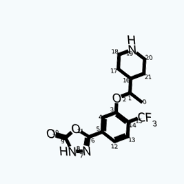 CC(Oc1cc(-c2n[nH]c(=O)o2)ccc1C(F)(F)F)C1CCNCC1